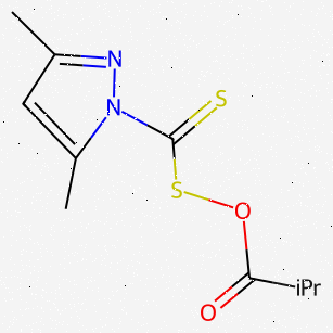 Cc1cc(C)n(C(=S)SOC(=O)C(C)C)n1